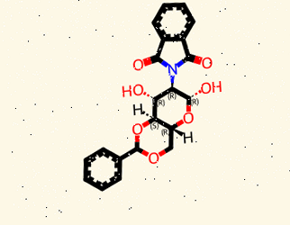 O=C1c2ccccc2C(=O)N1[C@@H]1[C@@H](O)[C@@H]2OC(c3ccccc3)OC[C@H]2O[C@H]1O